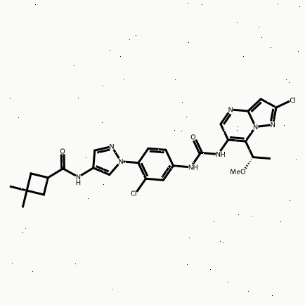 CO[C@@H](C)c1c(NC(=O)Nc2ccc(-n3cc(NC(=O)C4CC(C)(C)C4)cn3)c(Cl)c2)cnc2cc(Cl)nn12